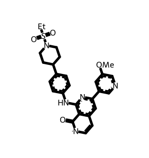 CCS(=O)(=O)N1CCC(c2ccc(Nc3nc(-c4cncc(OC)c4)cc4c3C(=O)[N]C=C4)cc2)CC1